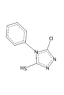 Sc1nnc(Cl)n1-c1ccccc1